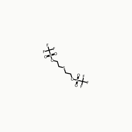 O=S(=O)(OCCSCCOS(=O)(=O)C(F)(F)F)C(F)(F)F